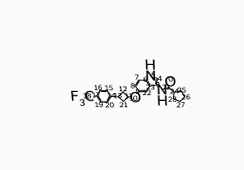 O=C(Nc1c[nH]c2ccc(O[C@H]3C[C@H](c4ccc(C(F)(F)F)cc4)C3)cc12)C1CCCC1